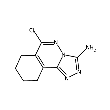 Nc1nnc2c3c(c(Cl)nn12)CCCC3